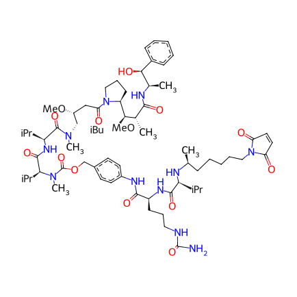 CC[C@H](C)[C@@H]([C@@H](CC(=O)N1CCC[C@H]1[C@H](OC)[C@@H](C)C(=O)N[C@H](C)[C@@H](O)c1ccccc1)OC)N(C)C(=O)[C@@H](NC(=O)[C@H](C(C)C)N(C)C(=O)OCc1ccc(NC(=O)[C@H](CCCNC(N)=O)NC(=O)[C@@H](N[C@@H](C)CCCCCN2C(=O)C=CC2=O)C(C)C)cc1)C(C)C